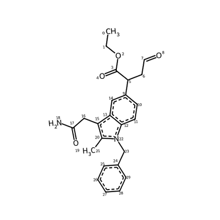 CCOC(=O)C(CC=O)c1ccc2c(c1)c(CC(N)=O)c(C)n2Cc1ccccc1